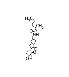 C=C(/C=C\C=C/C)NC(=O)NCc1ccc2c(c1)CN(C1CCC(=O)NC1=O)C2=O